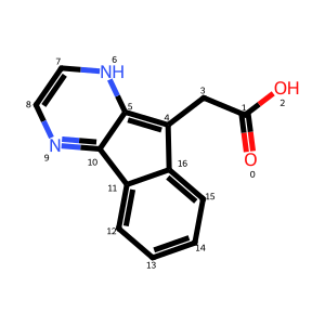 O=C(O)Cc1c2[nH]ccnc-2c2ccccc12